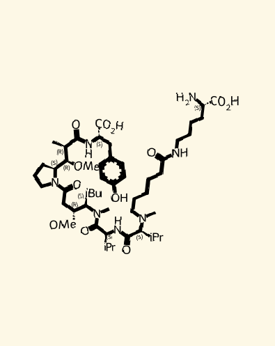 CC[C@H](C)C([C@@H](CC(=O)N1CCC[C@H]1[C@H](OC)[C@@H](C)C(=O)N[C@@H](Cc1ccc(O)cc1)C(=O)O)OC)N(C)C(=O)[C@@H](NC(=O)[C@H](C(C)C)N(C)CCCCCC(=O)NCCCC[C@H](N)C(=O)O)C(C)C